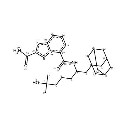 CC(C)(O)CCCC(CC12CC3CC(CC(C3)C1)C2)NC(=O)c1cccc2nc(C(N)=O)cn12